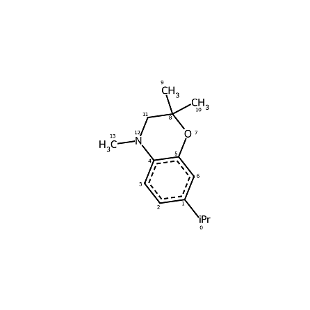 CC(C)c1ccc2c(c1)OC(C)(C)CN2C